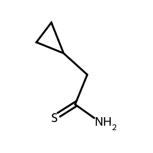 NC(=S)CC1CC1